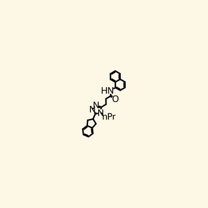 CCCn1c(CCC(=O)Nc2cccc3ccccc23)nnc1C1Cc2ccccc2C1